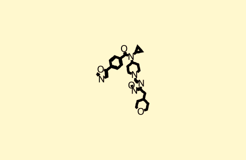 O=C(c1ccc(-c2cnco2)cc1)N(C1CC1)C1CCN(c2nc(CC3CCOCC3)no2)CC1